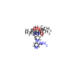 CC(C)(C)OC(=O)N[C@@H]1CCN(c2ccncc2N)C[C@H]1CC(C)(C)[Si](C)(C)O